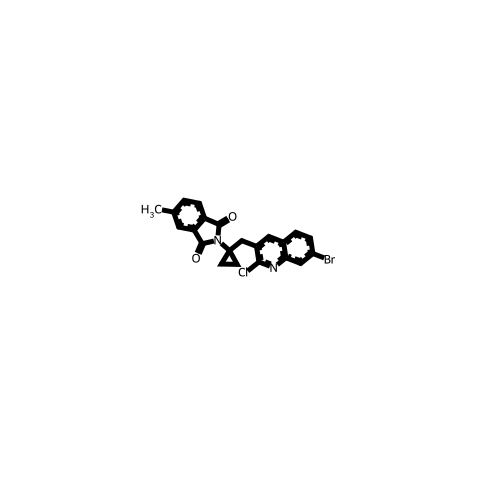 Cc1ccc2c(c1)C(=O)N(C1(Cc3cc4ccc(Br)cc4nc3Cl)CC1)C2=O